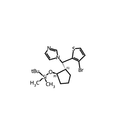 CC(C)(C)[Si](C)(C)O[C@@H]1CCC[C@H]1C(c1sccc1Br)n1ccnc1